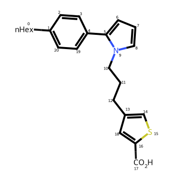 CCCCCCc1ccc(-c2cccn2CCCc2csc(C(=O)O)c2)cc1